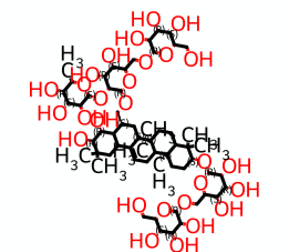 CC1O[C@@H](OC2[C@H](OC[C@H]3C[C@]4(C)C(=CCC5[C@@]6(C)CC[C@H](O[C@@H]7OC(CO[C@@H]8OC(CO)[C@@H](O)[C@@H](O)C8O)[C@@H](O)[C@@H](O)C7O)C(C)(C)C6CC[C@]54C)C4CC(C)(C)[C@@H](O)[C@H](O)C43)OC(CO[C@@H]3OC(CO)[C@@H](O)[C@@H](O)C3O)[C@@H](O)[C@H]2O)C(O)[C@@H](O)[C@H]1O